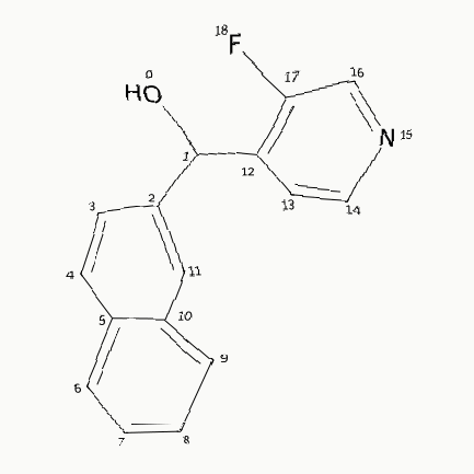 OC(c1ccc2ccccc2c1)c1ccncc1F